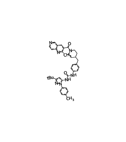 Cc1ccc(-n2nc(C(C)(C)C)cc2NC(=O)Nc2ccc(CC3CCN(C(=O)c4cc5cnccc5nc4C)CC3)cc2)cc1